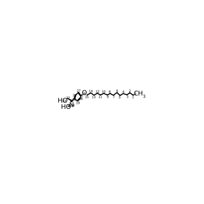 CCCCCCCCCCCCCCCCOc1ccc(C(CO)=NO)cc1